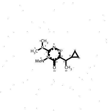 CNn1c(N(C)C)nnc(C(C)C2CC2)c1=O